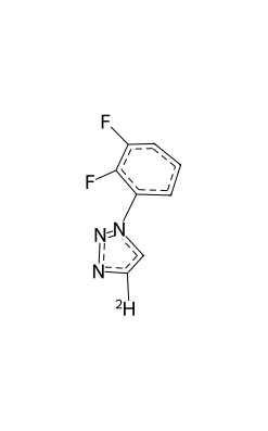 [2H]c1cn(-c2cccc(F)c2F)nn1